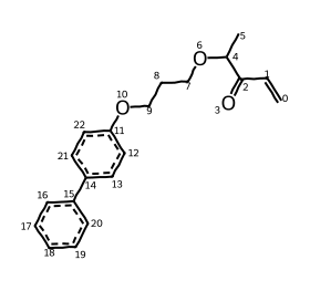 C=CC(=O)C(C)OCCCOc1ccc(-c2ccccc2)cc1